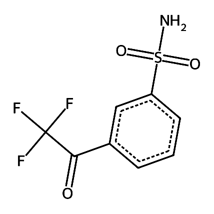 NS(=O)(=O)c1cccc(C(=O)C(F)(F)F)c1